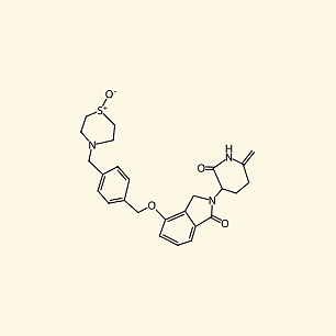 C=C1CCC(N2Cc3c(OCc4ccc(CN5CC[S+]([O-])CC5)cc4)cccc3C2=O)C(=O)N1